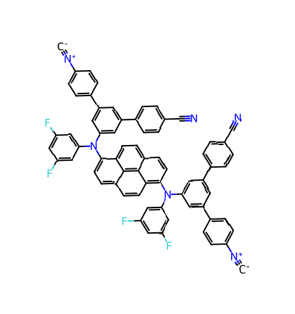 [C-]#[N+]c1ccc(-c2cc(-c3ccc(C#N)cc3)cc(N(c3cc(F)cc(F)c3)c3ccc4ccc5c(N(c6cc(F)cc(F)c6)c6cc(-c7ccc(C#N)cc7)cc(-c7ccc([N+]#[C-])cc7)c6)ccc6ccc3c4c65)c2)cc1